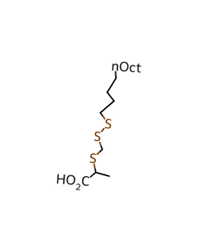 CCCCCCCCCCCCSSCSC(C)C(=O)O